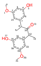 COc1cc(O)cc(C(C)C(=O)C(C)c2cc(O)cc(OC)c2)c1